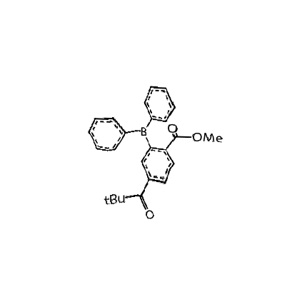 COC(=O)c1ccc(C(=O)C(C)(C)C)cc1B(c1ccccc1)c1ccccc1